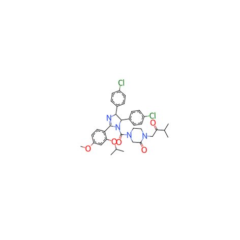 COc1ccc(C2=NC(c3ccc(Cl)cc3)C(c3ccc(Cl)cc3)N2C(=O)N2CCN(CC(=O)C(C)C)C(=O)C2)c(OC(C)C)c1